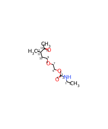 CCNC(=O)OCCOCCC(C)C(C)=O